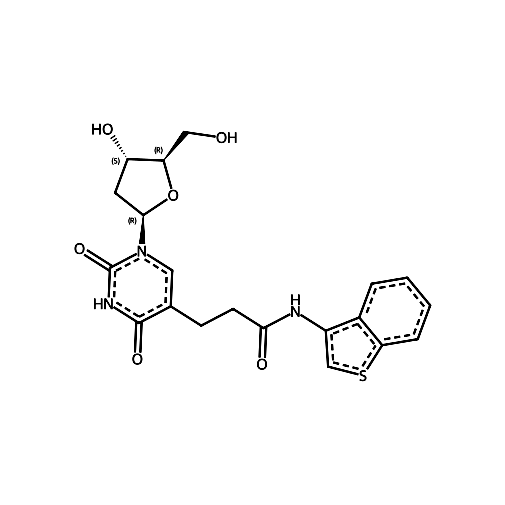 O=C(CCc1cn([C@H]2C[C@H](O)[C@@H](CO)O2)c(=O)[nH]c1=O)Nc1csc2ccccc12